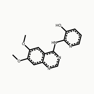 COc1cc2ncnc(Nc3ncccc3O)c2cc1OC